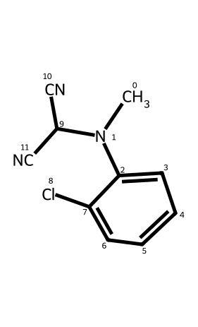 CN(c1ccccc1Cl)C(C#N)C#N